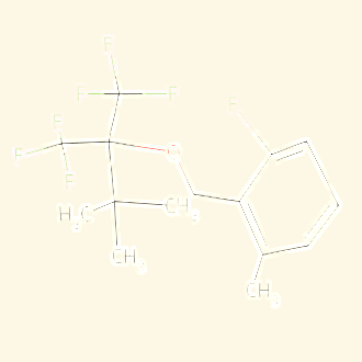 Cc1cccc(F)c1COC(C(C)(C)C)(C(F)(F)F)C(F)(F)F